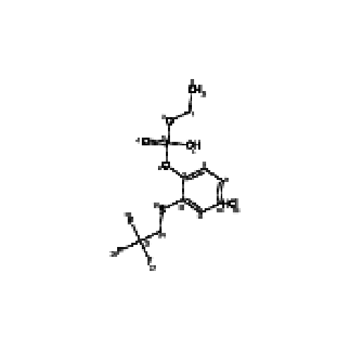 CCOP(=O)(O)Oc1ccccc1SCC(F)(F)F.Cl